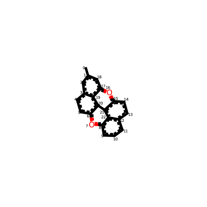 Cc1cc2ccc3oc4cccc5ccc6oc(c1)c2c3-c6c54